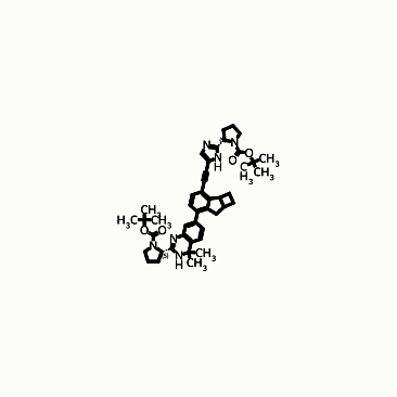 CC(C)(C)OC(=O)N1CCC[C@H]1C1=Nc2cc(-c3ccc(C#Cc4cnc([C@@H]5CCCN5C(=O)OC(C)(C)C)[nH]4)c4c3CC3CCC43)ccc2C(C)(C)N1